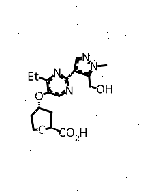 CCc1nc(-c2cnn(C)c2CO)ncc1O[C@H]1CCC[C@H](C(=O)O)C1